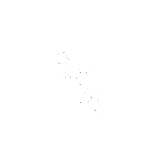 COc1ccc(S(=O)(=O)NC(CNS(=O)(=O)c2c(C)cc(C)cc2C)C(=O)NO)cc1